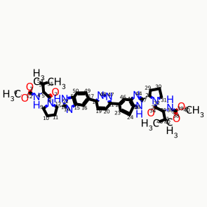 COC(=O)N[C@@H](C(=O)N1CCC[C@H]1c1nc2cc(-c3ccc(-c4ccc5[nH]c([C@@H]6CCCN6C(=O)[C@H](NC(=O)OC)C(C)C)nc5c4)nn3)ccc2[nH]1)C(C)C